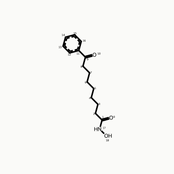 O=C(CCCCCCCC(=O)c1ccccc1)NO